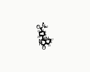 CN(C)C(=O)c1ccc(-c2nnc(=O)c3ccc[nH]c2-3)cc1